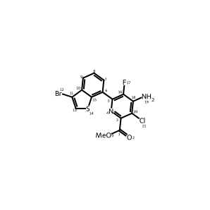 COC(=O)c1nc(-c2cccc3c(Br)csc23)c(F)c(N)c1Cl